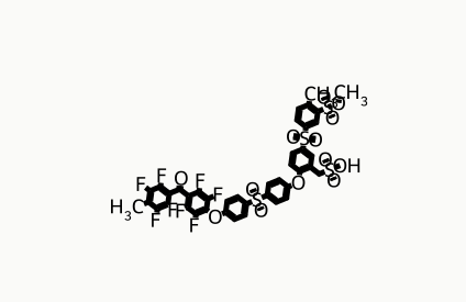 COS(=O)(=O)c1cc(S(=O)(=O)c2ccc(Oc3ccc(S(=O)(=O)c4ccc(Oc5c(F)c(F)c(C(=O)c6c(F)c(F)c(C)c(F)c6F)c(F)c5F)cc4)cc3)c(CS(=O)(=O)O)c2)ccc1C